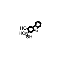 OB(O)c1cc2sc3ccccc3c2cc1O